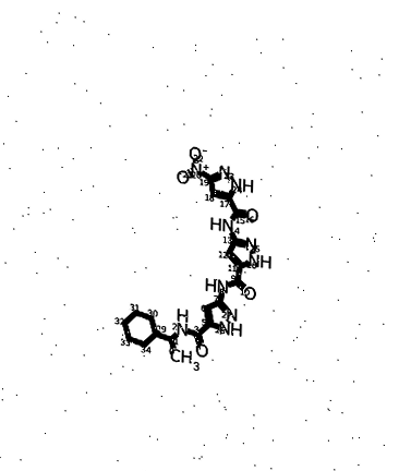 CC(NC(=O)c1cc(NC(=O)c2cc(NC(=O)c3cc([N+](=O)[O-])n[nH]3)n[nH]2)n[nH]1)C1CCCCC1